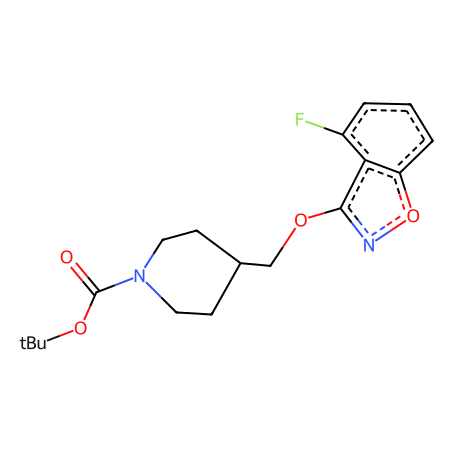 CC(C)(C)OC(=O)N1CCC(COc2noc3cccc(F)c23)CC1